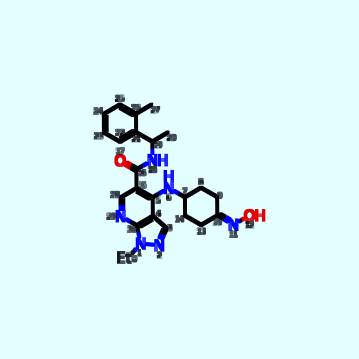 CCn1ncc2c(NC3CCC(=NO)CC3)c(C(=O)NC(C)c3ccccc3C)cnc21